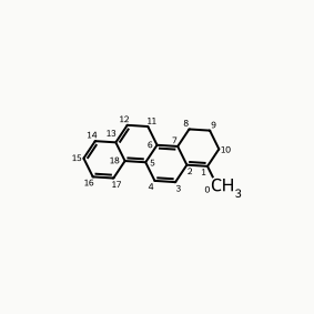 CC1=c2ccc3c(c2CCC1)CC=c1ccccc1=3